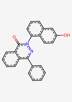 O=c1c2ccccc2c(-c2ccccc2)nn1-c1cccc2cc(O)ccc12